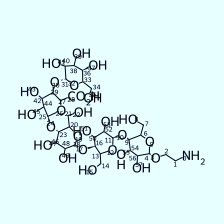 NCCO[C@H]1OC(CO)[C@H](O[C@H]2OC(CO)[C@@H](O[C@@H]3OC(CO)[C@@H](O[C@@H]4OC(C(=O)O)[C@H](O[C@H]5OC(CO)[C@H](O)C(O)C5O)C(O)C4O)C(O)C3O)C(O)C2O)C(O)C1O